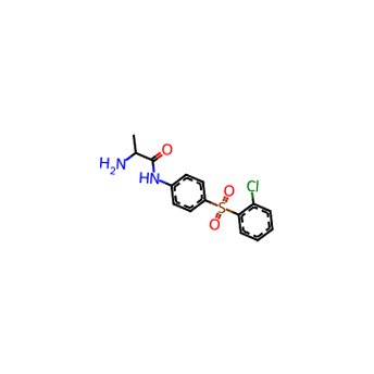 CC(N)C(=O)Nc1ccc(S(=O)(=O)c2ccccc2Cl)cc1